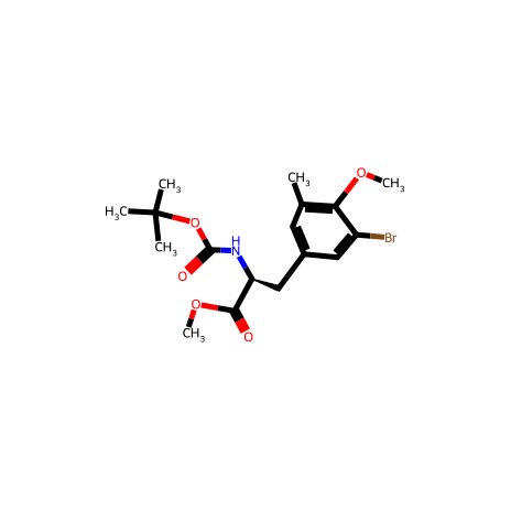 COC(=O)[C@H](Cc1cc(C)c(OC)c(Br)c1)NC(=O)OC(C)(C)C